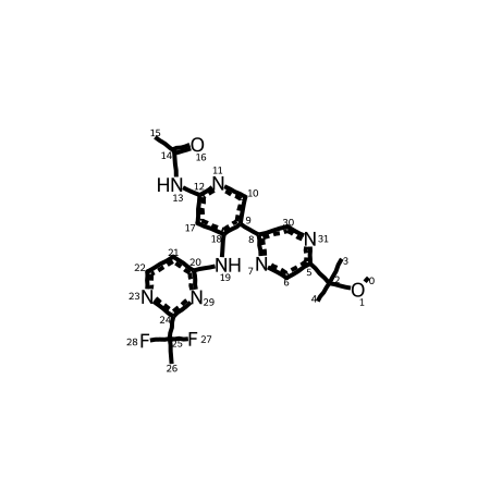 COC(C)(C)c1cnc(-c2cnc(NC(C)=O)cc2Nc2ccnc(C(C)(F)F)n2)cn1